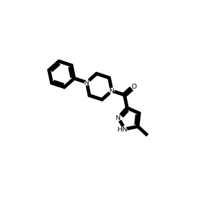 Cc1cc(C(=O)N2CCN(c3ccccc3)CC2)n[nH]1